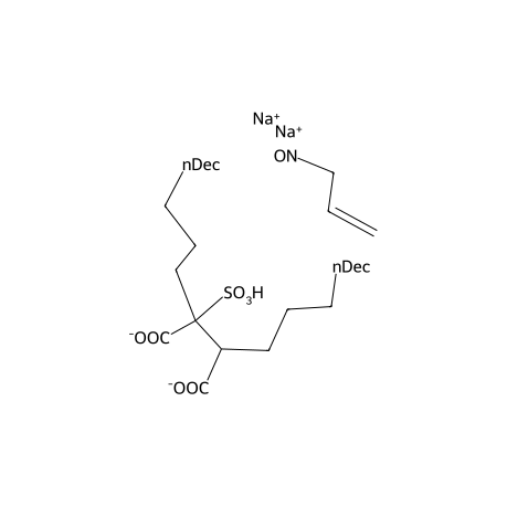 C=CCN=O.CCCCCCCCCCCCCC(C(=O)[O-])C(CCCCCCCCCCCCC)(C(=O)[O-])S(=O)(=O)O.[Na+].[Na+]